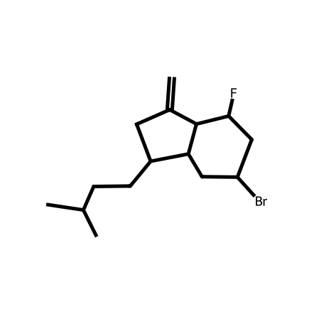 C=C1CC(CCC(C)C)C2CC(Br)CC(F)C12